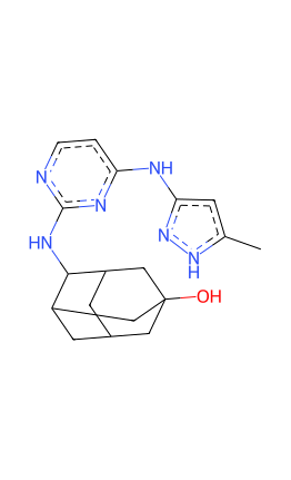 Cc1cc(Nc2ccnc(NC3C4CC5CC3CC(O)(C5)C4)n2)n[nH]1